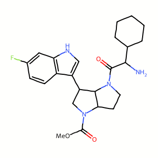 COC(=O)N1CC(c2c[nH]c3cc(F)ccc23)C2C1CCN2C(=O)C(N)C1CCCCC1